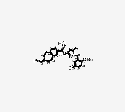 Cc1cc(NC(=O)c2ccc3c(c2)CCN(CC(C)C)CC3)nn1Cc1cc(Cl)ccc1OCC(C)C.Cl